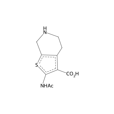 CC(=O)Nc1sc2c(c1C(=O)O)CCNC2